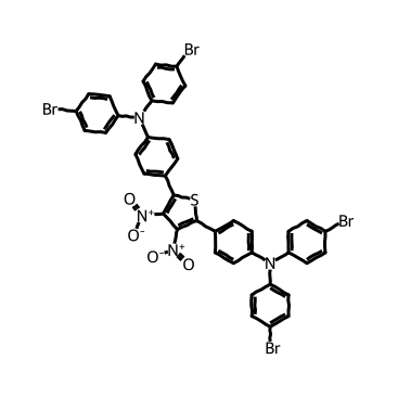 O=[N+]([O-])c1c(-c2ccc(N(c3ccc(Br)cc3)c3ccc(Br)cc3)cc2)sc(-c2ccc(N(c3ccc(Br)cc3)c3ccc(Br)cc3)cc2)c1[N+](=O)[O-]